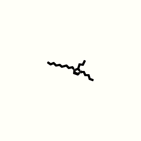 CCCCCCCCCN1C=CN(CCCCC)C1CCC